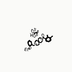 CCOc1ccccc1CN1CCC2(CC1)CCN(C(=O)c1cccc(C)c1C)CC2.O=C(O)C(F)(F)F